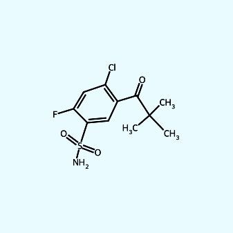 CC(C)(C)C(=O)c1cc(S(N)(=O)=O)c(F)cc1Cl